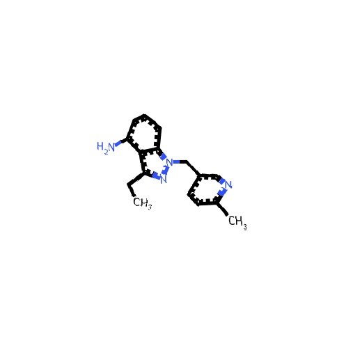 CCc1nn(Cc2ccc(C)nc2)c2cccc(N)c12